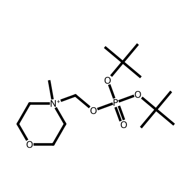 CC(C)(C)OP(=O)(OC[N+]1(C)CCOCC1)OC(C)(C)C